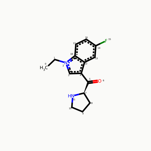 CCn1cc(C(=O)[C@H]2CCCN2)c2cc(F)ccc21